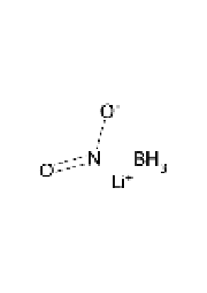 B.O=N[O-].[Li+]